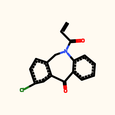 C=CC(=O)N1Cc2ccc(Cl)cc2C(=O)c2ccccc21